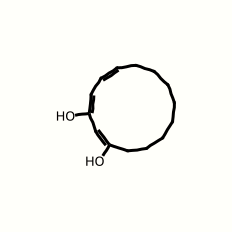 OC1=CC=CCCCCCCCCC(O)=C1